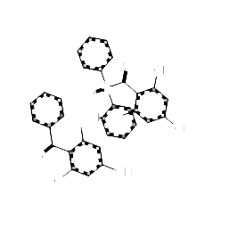 Cc1cc(C)c(C(=O)P(=O)(c2ccccc2)c2ccccc2)c(C)c1.Cc1cc(C)c(C(=O)c2ccccc2)c(C)c1